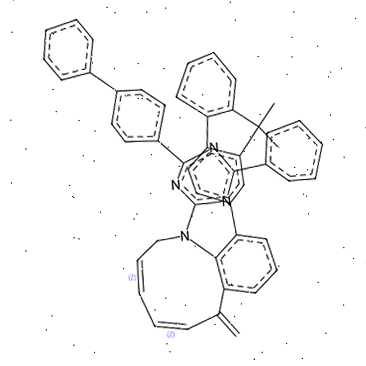 C=C1/C=C\C=C/CN(c2nc(-c3ccccc3)nc(-c3ccc(-c4ccccc4)cc3)n2)c2c1cccc2-c1ccc2c(c1)C(C)(C)c1ccccc1-2